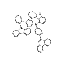 C1=Cc2c(oc3cccc(N(c4ccc(-c5ccccc5-n5c6ccccc6c6ccccc65)cc4)c4ccc(-c5cc6ccccc6c6ccccc56)cc4)c23)CC1